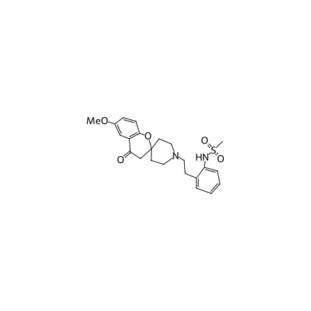 COc1ccc2c(c1)C(=O)CC1(CCN(CCc3ccccc3NS(C)(=O)=O)CC1)O2